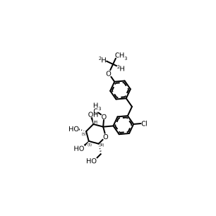 [2H]C([2H])(C)Oc1ccc(Cc2cc(C3(OC)O[C@H](CO)[C@@H](O)[C@H](O)[C@H]3O)ccc2Cl)cc1